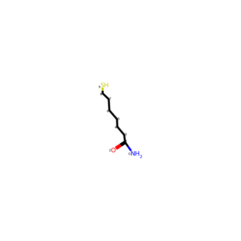 NC(=O)CCCCCCS